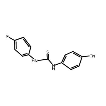 N#Cc1ccc(NC(=S)Nc2ccc(F)cc2)cc1